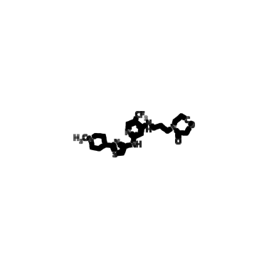 CN1CCC(c2nc(Nc3cc(NCCCN4CCCOCC4=O)c(C(F)(F)F)cn3)cs2)CC1